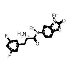 CCN(C(=O)[C@@H](N)Cc1cc(F)cc(F)c1)c1ccc2oc(=O)n(CC)c2c1